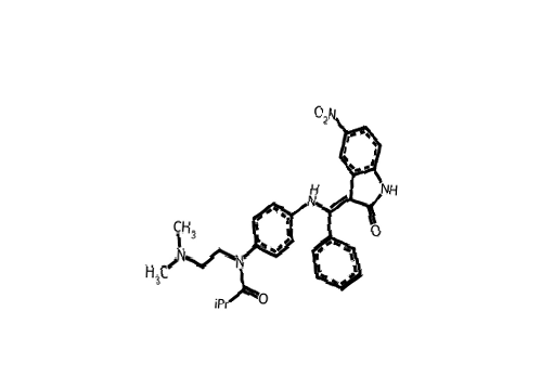 CC(C)C(=O)N(CCN(C)C)c1ccc(NC(=C2C(=O)Nc3ccc([N+](=O)[O-])cc32)c2ccccc2)cc1